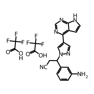 N#CCC(c1cccc(N)c1)n1cc(-c2ncnc3[nH]ccc23)cn1.O=C(O)C(F)(F)F.O=C(O)C(F)(F)F